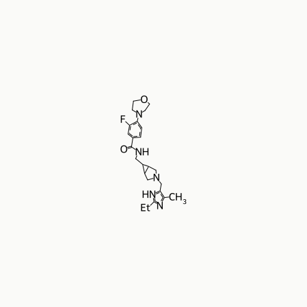 CCc1nc(C)c(CN2CC3C(CNC(=O)c4ccc(N5CCOCC5)c(F)c4)C3C2)[nH]1